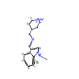 Cn1cc(/C=N/CC2CCNCC2)c2ccccc21